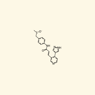 C[S+]([O-])Cc1ccc(NC(=O)/C=C/c2cnccc2-c2cn[nH]c2)cc1